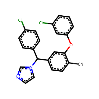 N#Cc1ccc(C(c2ccc(Cl)cc2)n2ccnc2)cc1Oc1cccc(Cl)c1